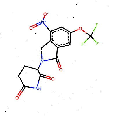 O=C1CCC(N2Cc3c(cc(OC(F)(F)F)cc3[N+](=O)[O-])C2=O)C(=O)N1